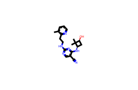 Cc1cccnc1CCNc1ncc(C#N)c(N[C@@H]2C[C@H](O)C2(C)C)n1